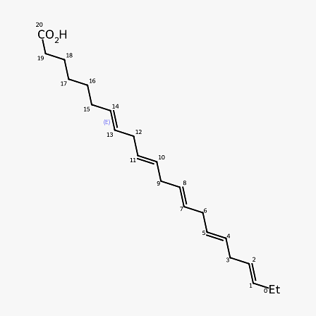 CCC=CCC=CCC=CCC=CC/C=C/CCCCCC(=O)O